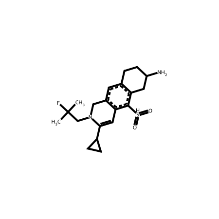 CC(C)(F)CN1Cc2cc3c(c([SH](=O)=O)c2C=C1C1CC1)CC(N)CC3